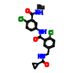 CCC(C)NC(=O)c1cc(NC(=O)c2cc(CNC(=O)C3CC3)ccc2Cl)ccc1Cl